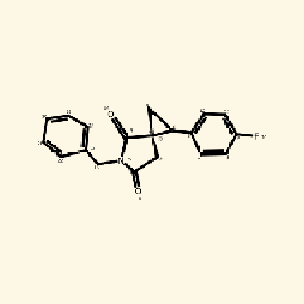 O=C1C[C@]2(CC2c2ccc(F)cc2)C(=O)N1Cc1ccccc1